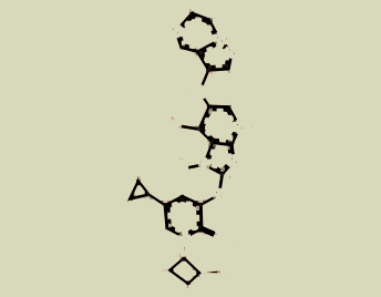 COc1c(Oc2cnn3ccncc23)cnc2nc(Nc3cc(C4CC4)cn([C@H]4CC[C@@H]4O)c3=O)n(C)c12